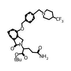 CC(C)(C)OC(=O)C(CCC(N)=O)N1Cc2c(OCc3ccc(CN4CCC(C(F)(F)F)CC4)cc3)cccc2C1=O